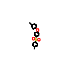 Cc1ccc(Oc2ccc(S(=O)(=O)c3ccc(C)cc3)cc2)cc1